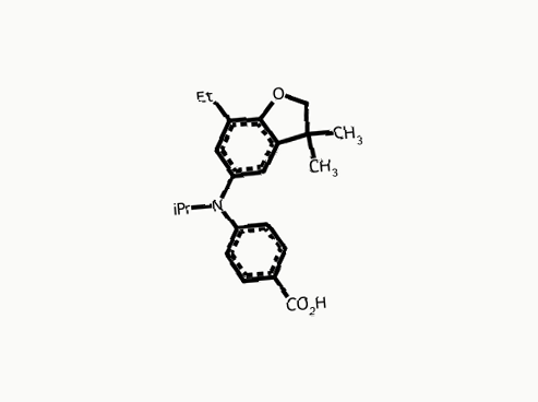 CCc1cc(N(c2ccc(C(=O)O)cc2)C(C)C)cc2c1OCC2(C)C